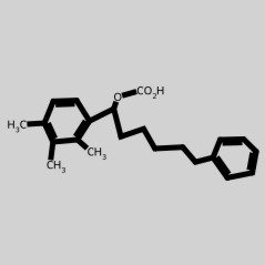 Cc1ccc(C(CCCCCc2ccccc2)OC(=O)O)c(C)c1C